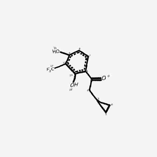 O=C(CC1CC1)c1ccc(O)c(C(F)(F)F)c1O